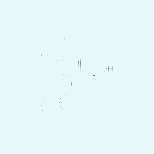 O=C(O)C1=C(Cl)C(Cl)=C(Cl)C2Cc3ccccc3CC12